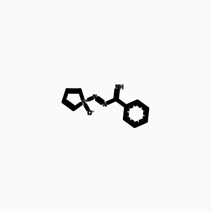 N=C(N=N[N+]1([O-])C=CC=C1)c1ccccc1